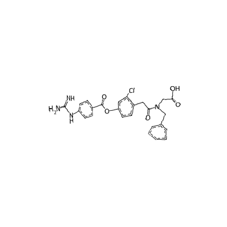 N=C(N)Nc1ccc(C(=O)Oc2ccc(CC(=O)N(CC(=O)O)Cc3ccccc3)c(Cl)c2)cc1